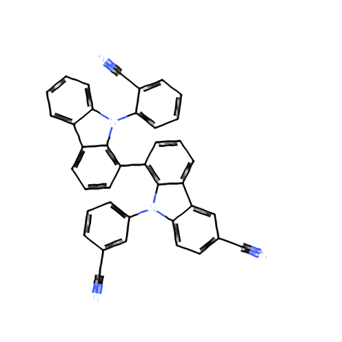 N#Cc1cccc(-n2c3ccc(C#N)cc3c3cccc(-c4cccc5c6ccccc6n(-c6ccccc6C#N)c45)c32)c1